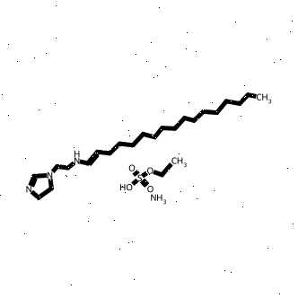 CCCCCCCCCCCCCCCC=CNCCN1C=NCC1.CCOS(=O)(=O)O.N